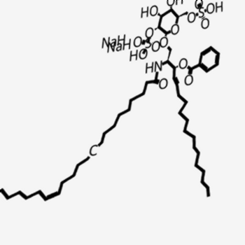 CCCCCCCC/C=C\CCCCCCCCCCCCCC(=O)N[C@@H](CO[C@@H]1O[C@H](COS(=O)(=O)O)[C@H](O)[C@H](O)[C@H]1OS(=O)(=O)O)[C@@H](/C=C/CCCCCCCCCCCCC)OC(=O)c1ccccc1.[NaH].[NaH]